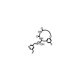 CCc1cncc(CNC[C@@H](O)[C@@H]2Cc3cc(F)cc(c3)OCCCCC(=O)NCC(=O)N2)c1